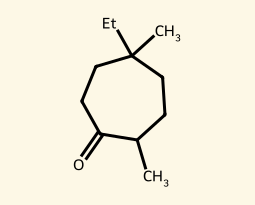 CCC1(C)CCC(=O)C(C)CC1